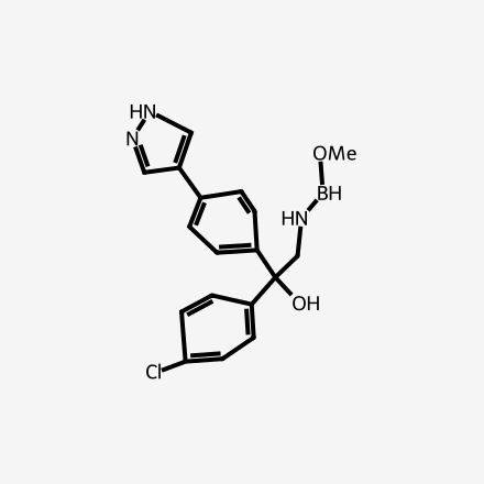 COBNCC(O)(c1ccc(Cl)cc1)c1ccc(-c2cn[nH]c2)cc1